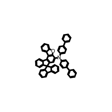 c1ccc(-c2ccc(N(c3ccc(-c4ccccc4)cc3)c3cc4c(c5c3oc3ccccc35)-c3ccccc3C43c4ccccc4-c4ccccc43)cc2)cc1